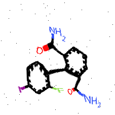 NC(=O)c1cccc(C(N)=O)c1-c1ccc(I)cc1F